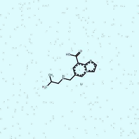 CC(C)CNCc1cc(C(=O)O)c2nccn2c1.[Li]